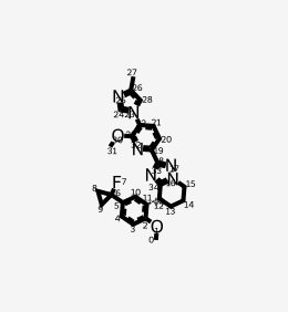 COc1ccc(C2(F)CC2)cc1[C@H]1CCCn2nc(-c3ccc(-n4cnc(C)c4)c(OC)n3)nc21